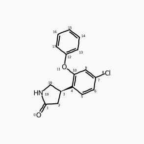 O=C1C[C@H](c2ccc(Cl)cc2Oc2ccccc2)CN1